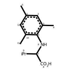 Cc1cc(C)c(NC(C(=O)O)C(C)C)c(C)c1